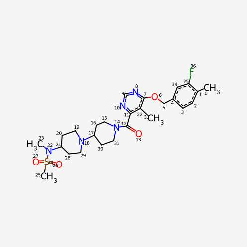 Cc1ccc(COc2ncnc(C(=O)N3CCC(N4CCC(N(C)S(C)(=O)=O)CC4)CC3)c2C)cc1F